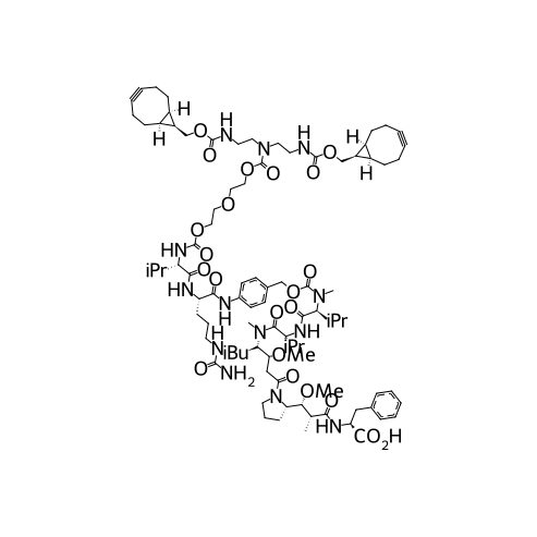 CC[C@H](C)[C@@H]([C@@H](CC(=O)N1CCC[C@H]1[C@H](OC)[C@@H](C)C(=O)N[C@@H](Cc1ccccc1)C(=O)O)OC)N(C)C(=O)[C@@H](NC(=O)[C@H](C(C)C)N(C)C(=O)OCc1ccc(NC(=O)[C@H](CCCNC(N)=O)NC(=O)[C@@H](NC(=O)OCCOCCOC(=O)N(CCNC(=O)OC[C@@H]2[C@@H]3CCC#CCC[C@@H]32)CCNC(=O)OC[C@@H]2[C@@H]3CCC#CCC[C@@H]32)C(C)C)cc1)C(C)C